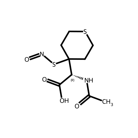 CC(=O)N[C@H](C(=O)O)C1(SN=O)CCSCC1